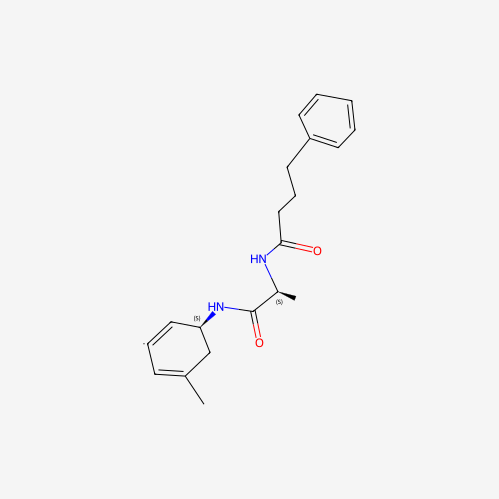 CC1=C[C]=C[C@@H](NC(=O)[C@H](C)NC(=O)CCCc2ccccc2)C1